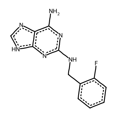 Nc1nc(NCc2ccccc2F)nc2[nH]cnc12